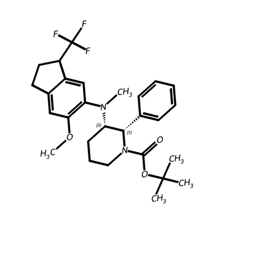 COc1cc2c(cc1N(C)[C@H]1CCCN(C(=O)OC(C)(C)C)[C@H]1c1ccccc1)C(C(F)(F)F)CC2